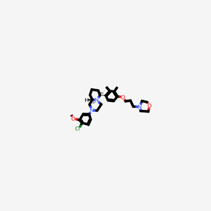 COc1cc(N2CCN3[C@@H](CCC[C@@H]3c3ccc(OCCCN4CCOCC4)c(C)c3C)C2)ccc1Cl